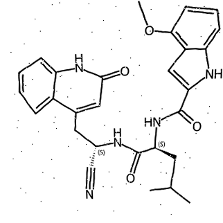 COc1cccc2[nH]c(C(=O)N[C@@H](CC(C)C)C(=O)N[C@H](C#N)Cc3cc(=O)[nH]c4ccccc34)cc12